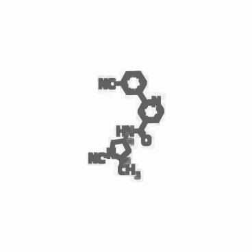 C[C@@H]1C[C@@H](NC(=O)c2ccnc(-c3cccc(C#N)c3)c2)CN1C#N